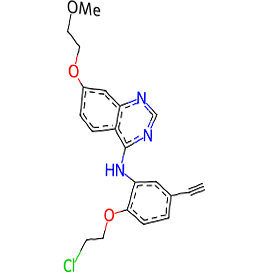 C#Cc1ccc(OCCCl)c(Nc2ncnc3cc(OCCOC)ccc23)c1